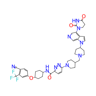 N#Cc1ccc(OC2CCC(NC(=O)c3ccc(N4CCC(CN5CCC(n6ccc7c(N8CCC(=O)NC8=O)cncc76)CC5)CC4)nn3)CC2)cc1C(F)(F)F